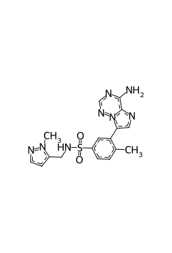 Cc1ccc(S(=O)(=O)NCc2ccnn2C)cc1-c1cnc2c(N)ncnn12